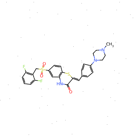 CN1CCN(c2ccc(C=C3Sc4ccc(S(=O)(=O)Cc5c(F)cccc5F)cc4NC3=O)cc2)CC1